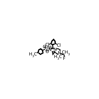 Cc1ccc(S(=O)(=O)N/N=C(\c2c(Cl)cccc2Cl)N2CCN(C(C)(C)CF)CC23CC3)cc1